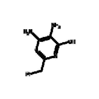 CC(C)Cc1nc(N)c(N)c(O)n1